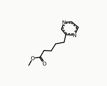 COC(=O)CCCCc1cnccn1